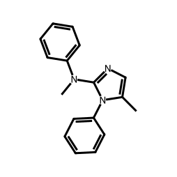 Cc1cnc(N(C)c2ccccc2)n1-c1ccccc1